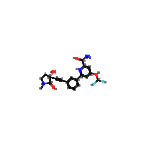 CN1CC[C@@](O)(C#Cc2cccc(-c3cc(OC(F)F)cc(C(N)=O)n3)c2)C1=O